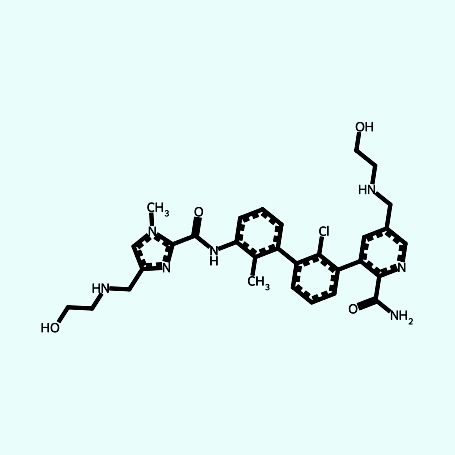 Cc1c(NC(=O)c2nc(CNCCO)cn2C)cccc1-c1cccc(-c2cc(CNCCO)cnc2C(N)=O)c1Cl